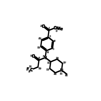 COC(=O)c1ccc(N(C(=O)CC(F)(F)F)C2CCN(C)CC2)cc1